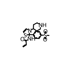 C=CC(=O)NC1(c2ccc(S(C)(=O)=O)cc2)SC=CN1C1CCNCC1